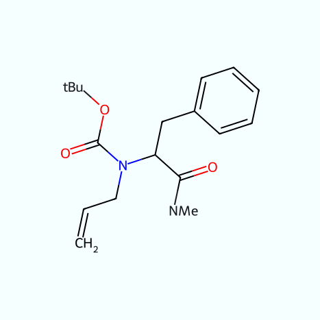 C=CCN(C(=O)OC(C)(C)C)C(Cc1ccccc1)C(=O)NC